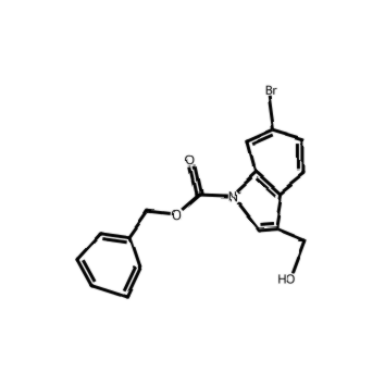 O=C(OCc1ccccc1)n1cc(CO)c2ccc(Br)cc21